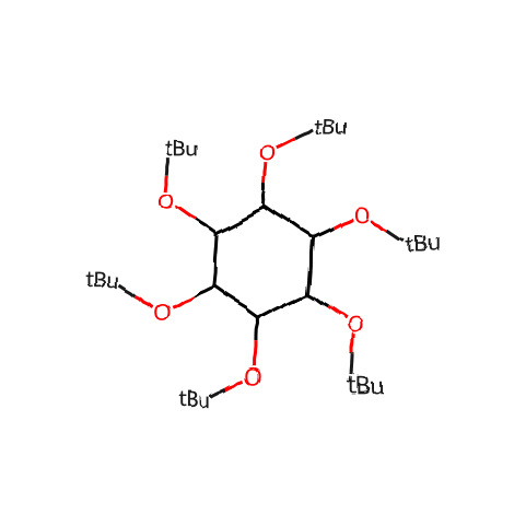 CC(C)(C)OC1C(OC(C)(C)C)C(OC(C)(C)C)C(OC(C)(C)C)C(OC(C)(C)C)C1OC(C)(C)C